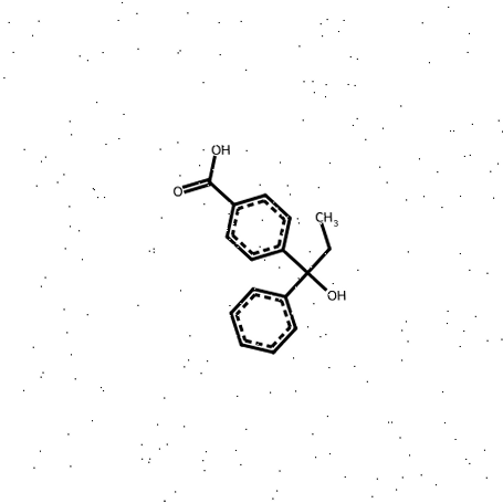 CCC(O)(c1ccccc1)c1ccc(C(=O)O)cc1